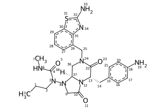 CCCN(C(=O)NC)N1CC(=O)N2[C@@H](Cc3ccc(N)cc3)C(=O)N(Cc3cccc4sc(N)nc34)C[C@@H]21